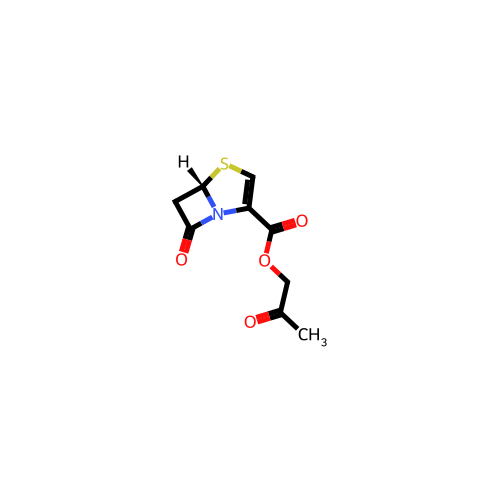 CC(=O)COC(=O)C1=CS[C@H]2CC(=O)N12